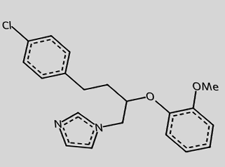 COc1ccccc1OC(CCc1ccc(Cl)cc1)Cn1ccnc1